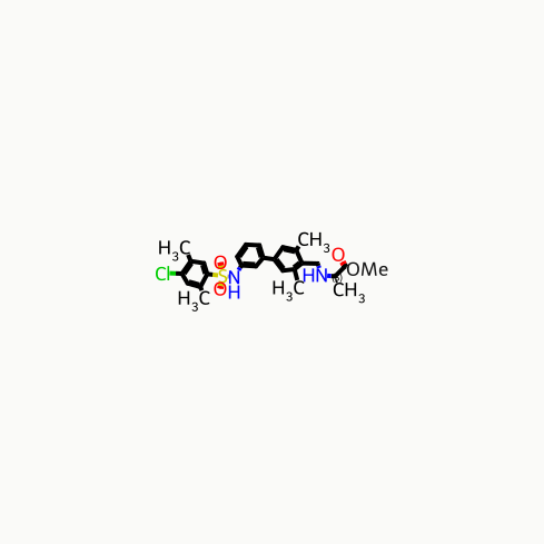 COC(=O)[C@H](C)NCc1c(C)cc(-c2cccc(NS(=O)(=O)c3cc(C)c(Cl)cc3C)c2)cc1C